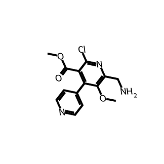 COC(=O)c1c(Cl)nc(CN)c(OC)c1-c1ccncc1